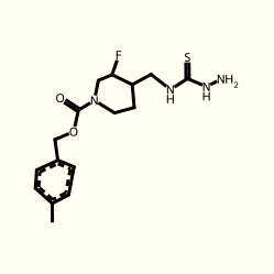 Cc1ccc(COC(=O)N2CCC(CNC(=S)NN)C(F)C2)cc1